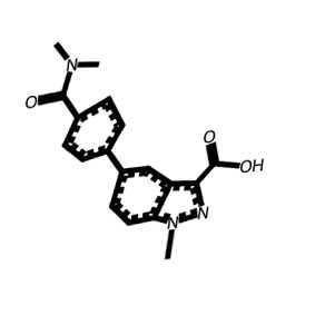 CN(C)C(=O)c1ccc(-c2ccc3c(c2)c(C(=O)O)nn3C)cc1